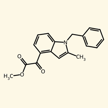 COC(=O)C(=O)c1cccc2c1cc(C)n2Cc1ccccc1